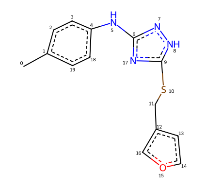 Cc1ccc(Nc2n[nH]c(SCc3ccoc3)n2)cc1